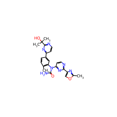 Cc1nc(-c2nccc(N(C(N)=O)c3cc(-c4ccnc(C(C)(C)O)n4)ccc3C)n2)co1